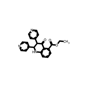 CCOC(=O)c1cccc2c1C(=O)C(c1ccncc1)C(c1ccncc1)N2